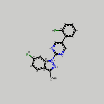 CSc1nn(-c2ncc(-c3ccccc3F)cn2)c2cc(Br)ccc12